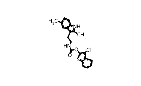 Cc1ccc2[nH]c(C)c(CCNC(=O)Oc3sc4ccccc4c3Cl)c2c1